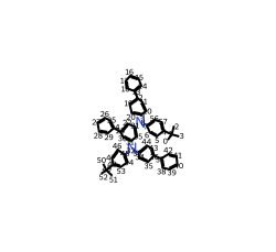 CC(C)(C)c1ccc(N(c2ccc(-c3ccccc3)cc2)c2cc(-c3ccccc3)cc(N(c3ccc(-c4ccccc4)cc3)c3ccc(C(C)(C)C)cc3)c2)cc1